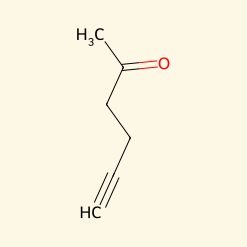 C#CCCC(C)=O